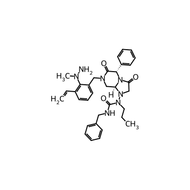 C=Cc1cccc(CN2C[C@H]3N(C(=O)CN3N(CCC)C(=O)NCc3ccccc3)[C@@H](c3ccccc3)C2=O)c1N(C)N